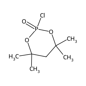 CC1(C)CC(C)(C)OP(=O)(Cl)O1